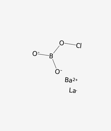 [Ba+2].[La].[O-]B([O-])OCl